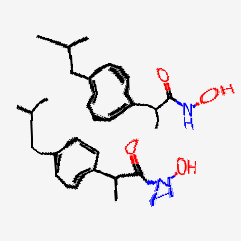 CC(C)Cc1ccc(C(C)C(=O)NO)cc1.CC(C)Cc1ccc(C(C)C(=O)NO)cc1